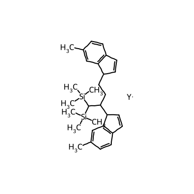 Cc1ccc2c(c1)C(CCC(C1C=Cc3ccc(C)cc31)C([Si](C)(C)C)[Si](C)(C)C)C=C2.[Y]